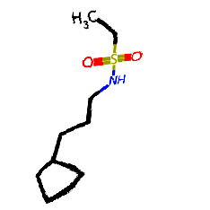 CCS(=O)(=O)NCCCC1CCC1